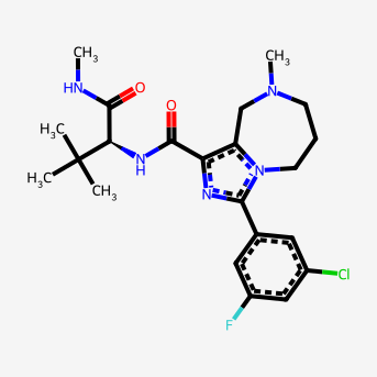 CNC(=O)[C@@H](NC(=O)c1nc(-c2cc(F)cc(Cl)c2)n2c1CN(C)CCC2)C(C)(C)C